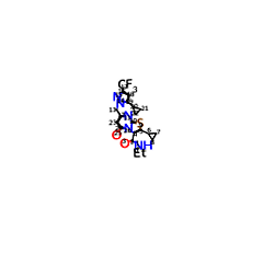 CCNC(=O)c1c(C2CC2)sc2nc(Cn3nc(C(F)(F)F)cc3C3CC3)cc(=O)n12